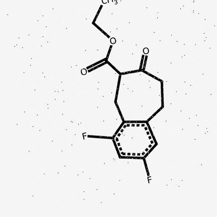 CCOC(=O)C1Cc2c(F)cc(F)cc2CCC1=O